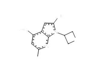 Cc1cc2c(C=O)cc(Cl)nc2n1C1COC1